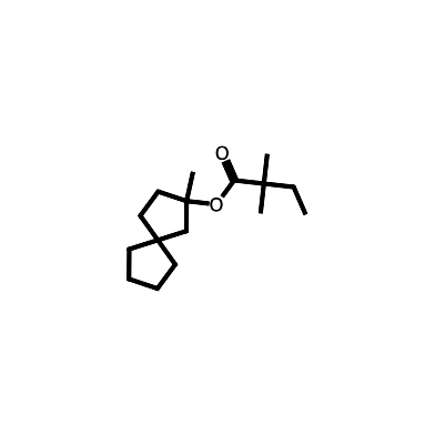 CCC(C)(C)C(=O)OC1(C)CCC2(CCCC2)C1